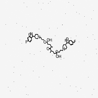 CC(CCC(O)OCCCN1CCC(c2noc3cc(F)ccc23)CC1)C(=O)C(C)CCC(O)OCCCN1CCC(c2noc3cc(F)ccc23)CC1